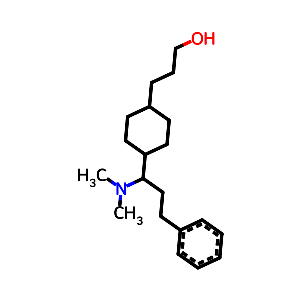 CN(C)C(CCc1ccccc1)C1CCC(CCCO)CC1